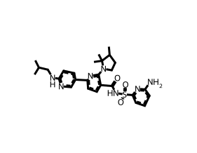 CC(C)CNc1ccc(-c2ccc(C(=O)NS(=O)(=O)c3cccc(N)n3)c(N3CCC(C)C3(C)C)n2)cn1